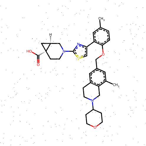 Cc1ccc(OCc2cc(C)c3c(c2)CCN(C2CCOCC2)C3)c(-c2csc(N3CC[C@@]4(C(=O)O)C[C@H]4C3)n2)c1